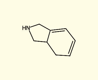 C1=CCC2CNCC2=C1